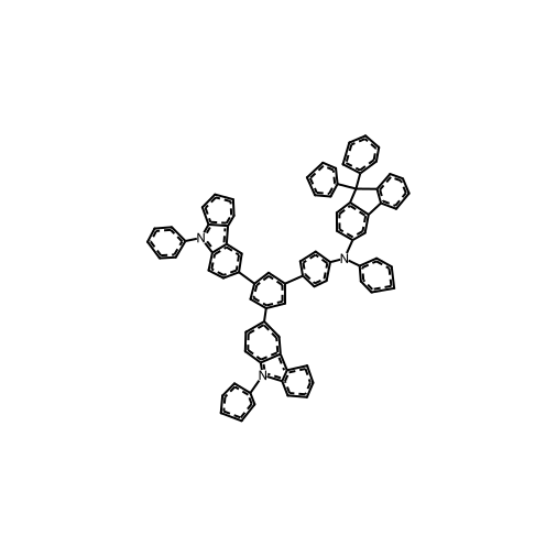 c1ccc(N(c2ccc(-c3cc(-c4ccc5c(c4)c4ccccc4n5-c4ccccc4)cc(-c4ccc5c(c4)c4ccccc4n5-c4ccccc4)c3)cc2)c2ccc3c(c2)-c2ccccc2C3(c2ccccc2)c2ccccc2)cc1